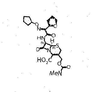 CNC(=O)OCC1=C(C(=O)O)N2C(=O)[C@@H](NC(=O)C(=NOC3CCCC3)c3ccco3)[C@H]2SC1